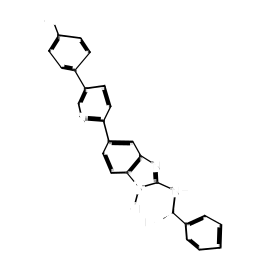 C[C@@H](Nc1nc2cc(-c3ccc(-c4ccc(Cl)cc4)cn3)ccc2n1C)c1ccccc1